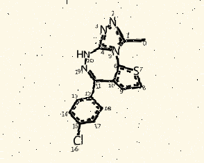 Cc1nnc2n1-c1sccc1C(c1ccc(Cl)cc1)=NN2